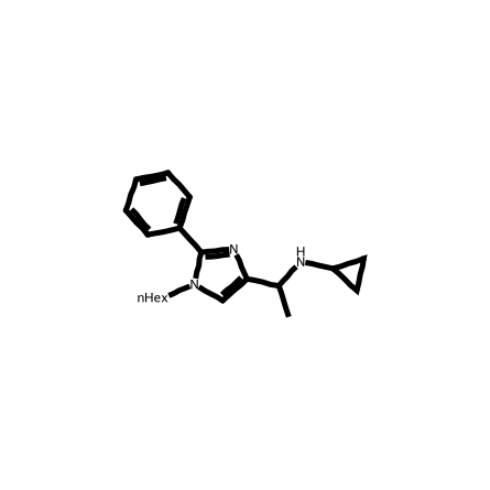 CCCCCCn1cc(C(C)NC2CC2)nc1-c1ccccc1